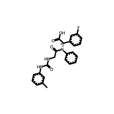 Cc1cccc(NC(=O)NCC(=O)N(c2ccccc2)[C@H](C(=O)O)c2cccc(F)c2)c1